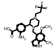 COc1cc(C)c2[nH]ccc2c1CN1CCN(CCC(F)(F)F)CC1c1ccc(C(=O)O)c(N)c1